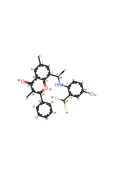 Cc1cc([C@@H](C)Nc2ccc(Cl)cc2C(F)F)c2oc(-c3ccccc3)c(C)c(=O)c2c1